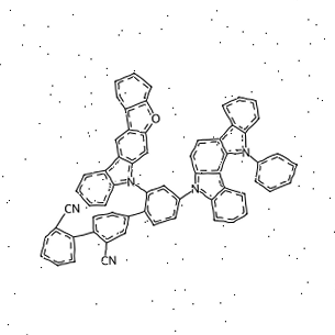 N#Cc1ccccc1-c1ccc(-c2ccc(-n3c4ccccc4c4c3ccc3c5ccccc5n(-c5ccccc5)c34)cc2-n2c3ccccc3c3cc4c(cc32)oc2ccccc24)cc1C#N